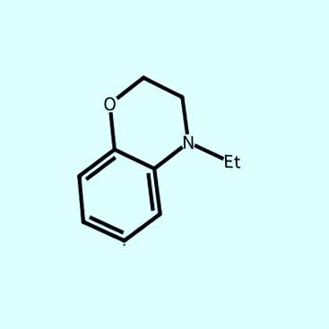 CCN1CCOc2cc[c]cc21